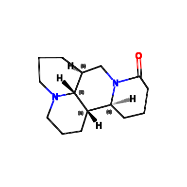 O=C1CCC[C@H]2[C@@H]3CCCN4CCC[C@@H](CN12)[C@H]34